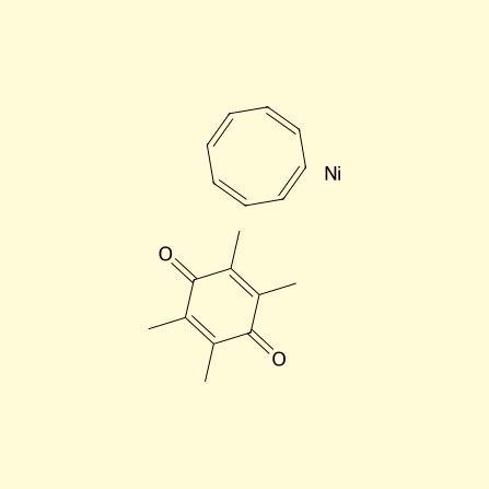 C1=C\C=C/C=C\C=C/1.CC1=C(C)C(=O)C(C)=C(C)C1=O.[Ni]